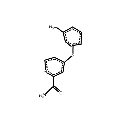 Cc1cccc(Sc2ccnc(C(N)=O)c2)c1